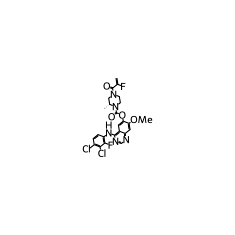 C=C(F)C(=O)N1CCN(C(=O)Oc2cc3c(Nc4ccc(Cl)c(Cl)c4F)ncnc3cc2OC)[C@H](C)C1